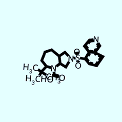 CC(C)(C)C1CCCC2CN(S(=O)(=O)c3cccc4cnccc34)CC2N1C(=O)O